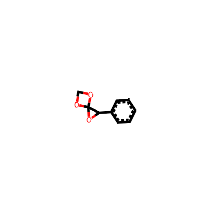 c1ccc(C2OC23OCO3)cc1